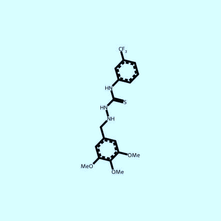 COc1cc(CNNC(=S)Nc2cccc(C(F)(F)F)c2)cc(OC)c1OC